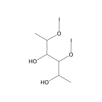 CC(O)C(OI)C(O)C(C)OI